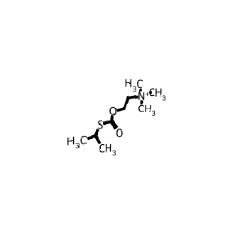 CC(C)SC(=O)OCC[N+](C)(C)C